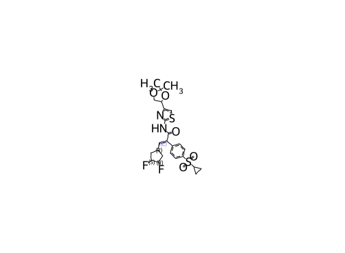 CC1(C)OCC(c2csc(NC(=O)/C(=C/[C@H]3C[C@@H](F)[C@@H](F)C3)c3ccc(S(=O)(=O)C4CC4)cc3)n2)O1